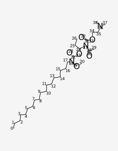 CCCCCCCCCCCCCCCCCCN(OC)C(=O)OC(CC)N(C(C)=O)C(=O)OCCN(C)C